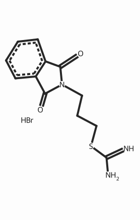 Br.N=C(N)SCCCN1C(=O)c2ccccc2C1=O